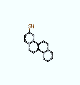 Sc1ccc2ccc3c4ccccc4ccc3c2c1